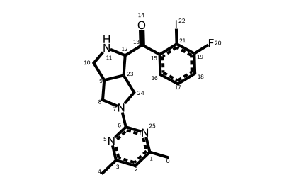 Cc1cc(C)nc(N2CC3CNC(C(=O)c4cccc(F)c4I)C3C2)n1